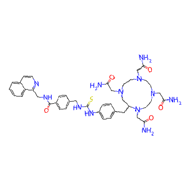 NC(=O)CN1CCN(CC(N)=O)CCN(CC(N)=O)C(Cc2ccc(NC(=S)NCc3ccc(C(=O)NCc4nccc5ccccc45)cc3)cc2)CN(CC(N)=O)CC1